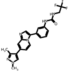 Cc1nn(C)cc1-c1ccn2c(-c3cccc(NC(=O)NCC(F)(F)F)c3)cnc2c1